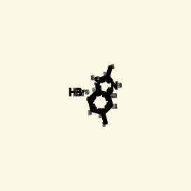 Br.Cc1ccc2sc(C)nc2c1